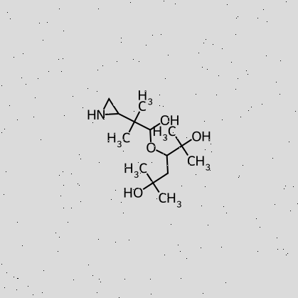 CC(C)(O)CC(OC(O)C(C)(C)C1CN1)C(C)(C)O